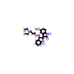 N#Cc1ccc2c(c1)/C(=C1/Nc3ccccc3/C1=N\OCCCN1CCSCC1)C(=O)N2